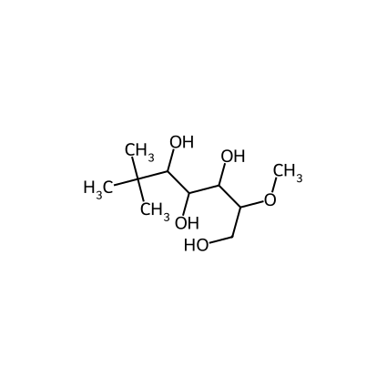 COC(CO)C(O)C(O)C(O)C(C)(C)C